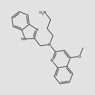 COc1cc(N(CCCN)Cc2nc3ccccc3[nH]2)nc2ccccc12